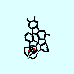 Cc1cc2c(cc1C)-c1cc(C)c(C)c(C(c3ccccc3N3CCOCC3)(c3ccccc3N3CCOCC3)C3C=CC=C3)c1C2